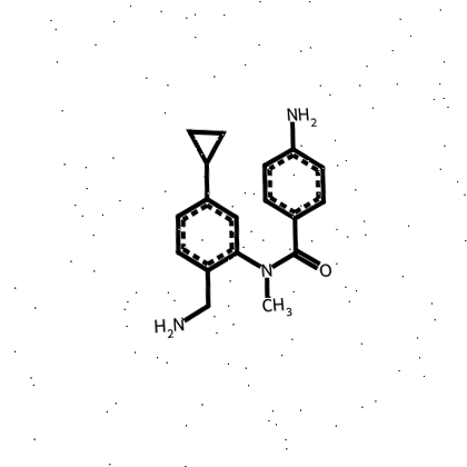 CN(C(=O)c1ccc(N)cc1)c1cc(C2CC2)ccc1CN